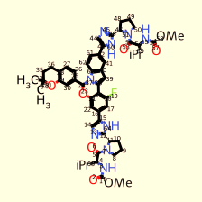 COC(=O)NC(C(=O)N1CCC[C@H]1c1ncc(-c2cc(F)c3c(c2)OC(c2ccc4c(c2)OC(C)(C)CC4)n2c-3cc3cc(-c4cnc([C@@H]5CCCN5C(=O)C(NC(=O)OC)C(C)C)[nH]4)ccc32)[nH]1)C(C)C